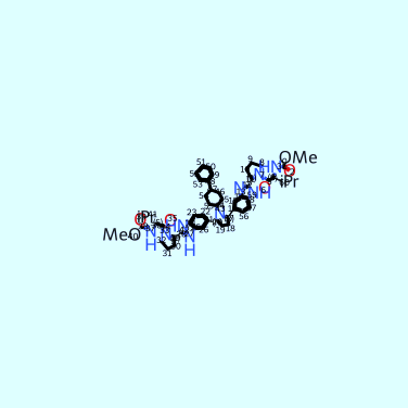 COC(=O)N[C@H](C(=O)N1CCC[C@H]1c1nc2cc([C@H]3CC[C@H](c4ccc5c(c4)NC([C@@H]4CCCN4C(=O)[C@@H](NC(=O)OC)C(C)C)N5)N3C3CCC(c4ccccc4)CC3)ccc2[nH]1)C(C)C